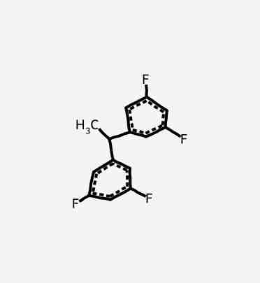 CC(c1cc(F)cc(F)c1)c1cc(F)cc(F)c1